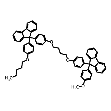 CCCCCOc1ccc(C2(c3ccc(OCCCCOc4ccc(C5(c6ccc(OC)cc6)c6ccccc6-c6ccccc65)cc4)cc3)c3ccccc3-c3ccccc32)cc1